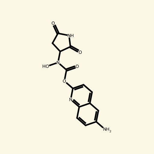 Nc1ccc2nc(OC(=O)N(O)C3CC(=O)NC3=O)ccc2c1